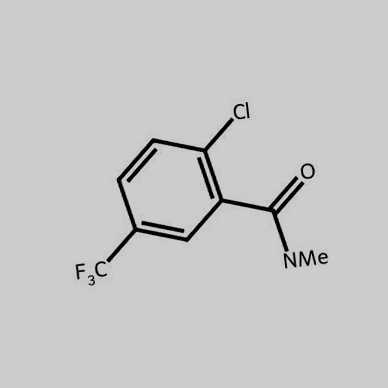 CNC(=O)c1cc(C(F)(F)F)ccc1Cl